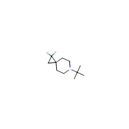 CC(C)(C)N1CCC2(CC1)CC2(F)F